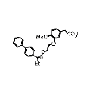 CCC(=NOCCOc1cc(CC(=O)O)ccc1OC)c1ccc(-c2ccccc2)cc1